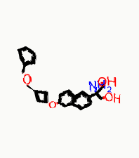 NC(CO)(CO)c1ccc2cc(O[C@H]3C[C@H](COCc4ccccc4)C3)ccc2c1